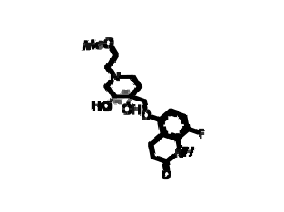 COCCN1CC[C@@](O)(COc2ccc(F)c3c2CCC(=O)N3)[C@H](O)C1